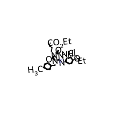 CCOC(=O)CCCn1c(=O)n(N)/c(=N\c2ccc(OCC)c(Cl)c2)n(Cc2ccc(C)cc2)c1=O